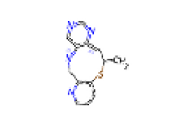 C=C1/C=c2/ncnc/c2=N/Cc2ncccc2S1